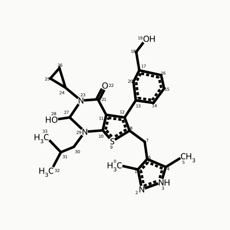 Cc1n[nH]c(C)c1Cc1sc2c(c1-c1cccc(CO)c1)C(=O)N(C1CC1)C(O)N2CC(C)C